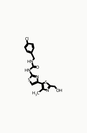 Cc1nc(CO)sc1-c1csc(NC(=O)NCc2ccc(Cl)cc2)n1